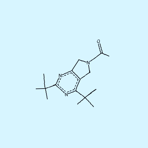 CC(=O)N1Cc2nc(C(C)(C)C)nc(C(C)(C)C)c2C1